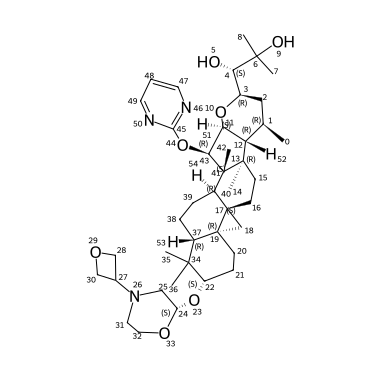 C[C@@H]1C[C@H]([C@H](O)C(C)(C)O)O[C@H]2[C@H]1[C@@]1(C)CC[C@@]34C[C@@]35CC[C@H](O[C@H]3CN(C6COC6)CCO3)C(C)(C)[C@@H]5CC[C@H]4[C@]1(C)[C@H]2Oc1ncccn1